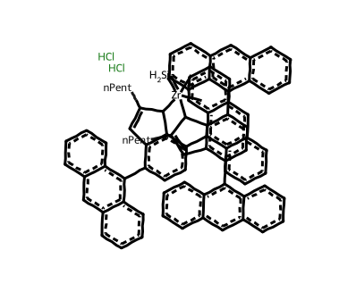 CCCCCC1=Cc2c(-c3c4ccccc4cc4ccccc34)ccc(-c3c4ccccc4cc4ccccc34)c2[CH]1[Zr]([CH3])([CH3])(=[SiH2])[CH]1C(CCCCC)=Cc2c(-c3c4ccccc4cc4ccccc34)ccc(-c3c4ccccc4cc4ccccc34)c21.Cl.Cl